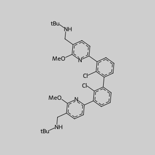 COc1nc(-c2cccc(-c3cccc(-c4ccc(CNC(C)(C)C)c(OC)n4)c3Cl)c2Cl)ccc1CNC(C)(C)C